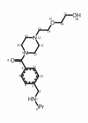 CC(C)NCc1ccc(C(=O)N2CCN(CCOCCO)CC2)cc1